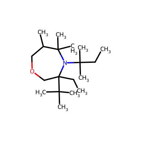 CCC(C)(C)N1C(C)(C)C(C)COCC1(CC)C(C)(C)C